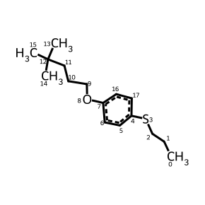 CCCSc1ccc(OCCCC(C)(C)C)cc1